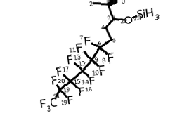 C=C(C)C(CCC(F)(F)C(F)(F)C(F)(F)C(F)(F)C(F)(F)C(F)(F)F)O[SiH3]